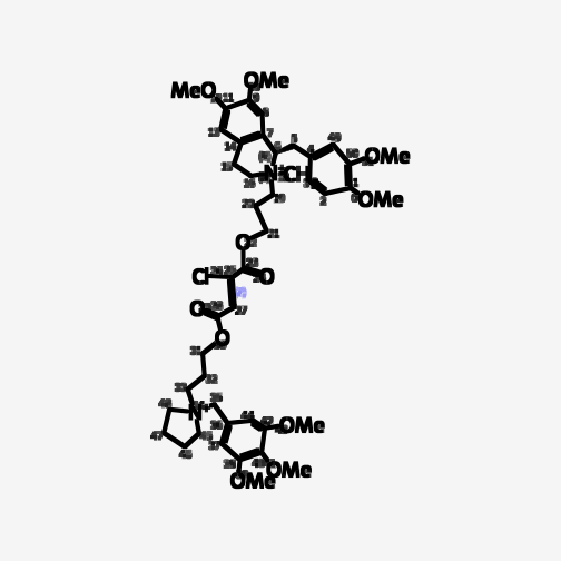 COc1ccc(C[C@@H]2c3cc(OC)c(OC)cc3CC[N@@+]2(C)CCCOC(=O)/C(Cl)=C/C(=O)OCCC[N+]2(Cc3cc(OC)c(OC)c(OC)c3)CCCC2)cc1OC